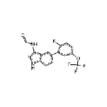 O=CNc1n[nH]c2ccc(-c3cc(OC(F)(F)F)ccc3F)cc12